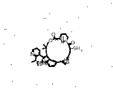 CCn1c(-c2cccnc2[C@H](C)OC)c2c3cc(ccc31)-c1csc(n1)C[C@H]([SiH3])C(=O)N1CCC[C@H](N1)C(=O)OCC(C)(C)C2